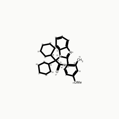 COc1ccc(-c2nc3ccccc3n2C(C(N)=O)(C2CCCCC2)C2CCCCC2)c(C)c1